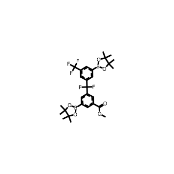 COC(=O)c1cc(B2OC(C)(C)C(C)(C)O2)cc(C(F)(F)c2cc(B3OC(C)(C)C(C)(C)O3)cc(C(F)(F)F)c2)c1